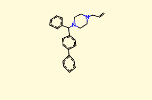 C=CCN1CCN(C(c2ccccc2)c2ccc(-c3ccccc3)cc2)CC1